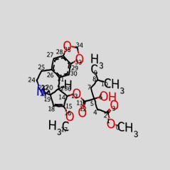 COC(=O)CC(O)(CC(C)C)C(=O)OC1C(OC)=C[C@]23CCCN2CCc2cc4c(cc2[C@H]13)OCO4